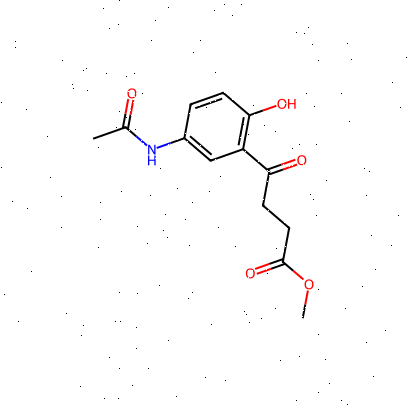 COC(=O)CCC(=O)c1cc(NC(C)=O)ccc1O